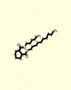 CC(C)CCCCCCCCCOC(=O)C1CCCCC1C(=O)OCCCCC(C)C